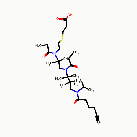 C#CCCCC(=O)N(CC(C)(C)C(C)(C)N(CC(C)(C)N(CCSCCC(=O)O)C(=O)CC)C(=O)CC)C(C)C